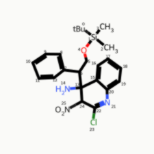 CC(C)(C)[Si](C)(C)OCC(c1ccccc1)C1(N)c2ccccc2N=C(Cl)C1[N+](=O)[O-]